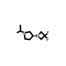 CC(C)N1CC[C@H](N2CC(F)(F)C2)C1